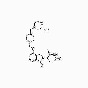 CC(C)C1CN(Cc2ccc(COc3cccc4c3CN(C3CCC(=O)NC3=O)C4=O)cc2)CCO1